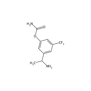 CC(N)c1cc(OC(N)=O)cc(C(F)(F)F)c1